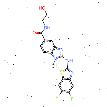 Cn1c(Nc2nc3cc(F)c(F)cc3s2)nc2cc(C(=O)NCCO)ccc21